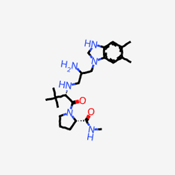 CNC(=O)[C@@H]1CCCN1C(=O)[C@@H](NCC(N)CN1CNc2cc(C)c(C)cc21)C(C)(C)C